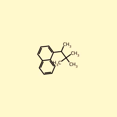 CC(c1cccc2ccccc12)C(C)(C)C